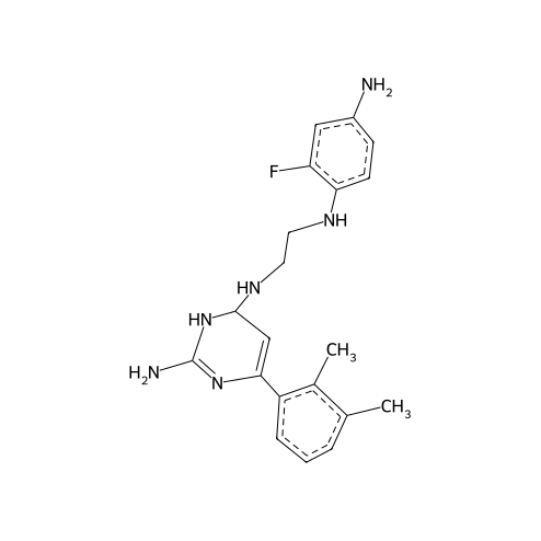 Cc1cccc(C2=CC(NCCNc3ccc(N)cc3F)NC(N)=N2)c1C